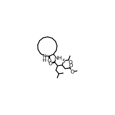 COC(=O)CC(SC(C)=O)C(CC(C)C)C(=O)NC1CCCCCCCCCCNC1=O